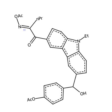 CCC/C(=N\OC(C)=O)C(=O)c1ccc2c(c1)c1cc(C(O)c3ccc(OC(C)=O)cc3)ccc1n2CC